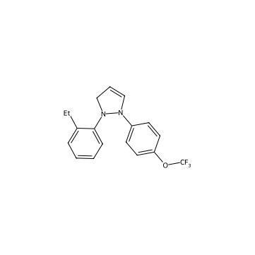 CCc1ccccc1N1CC=CN1c1ccc(OC(F)(F)F)cc1